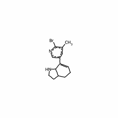 Cc1cc(C2=CCCC3CCNC23)cnc1Br